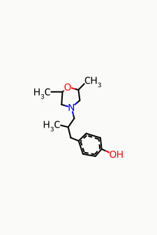 CC(Cc1ccc(O)cc1)CN1CC(C)OC(C)C1